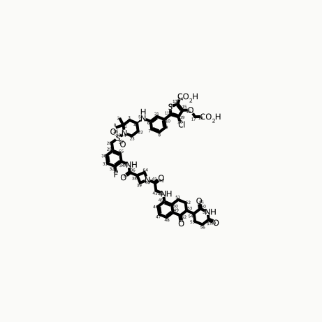 CC1(C)C[C@@H](Nc2cccc(-c3sc(C(=O)O)c(OCC(=O)O)c3Cl)c2)CCN1S(=O)(=O)Cc1ccc(F)c(NC(=O)C2CN(C(=O)CNc3cccc4c3CCC(C3CCC(=O)NC3=O)C4=O)C2)c1